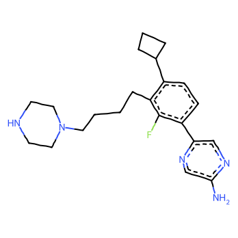 Nc1cnc(-c2ccc(C3CCC3)c(CCCCN3CCNCC3)c2F)cn1